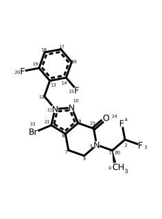 C[C@H](C(F)F)N1CCc2c(nn(Cc3c(F)cccc3F)c2Br)C1=O